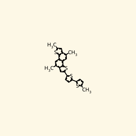 Cc1ccc(-c2ccc(-c3cc4c(C)cc5c(cc(C)c6cc(C)sc65)c4s3)s2)s1